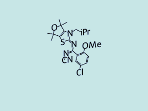 COc1ccc(Cl)cc1C(=NC#N)N=c1sc2c(n1CC(C)C)C(C)(C)OC2(C)C